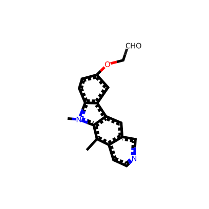 Cc1c2ccncc2cc2c3cc(OCC=O)ccc3n(C)c12